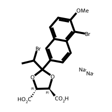 COc1ccc2cc(C3(C(C)Br)O[C@@H](C(=O)O)[C@H](C(=O)O)O3)ccc2c1Br.[Na].[Na]